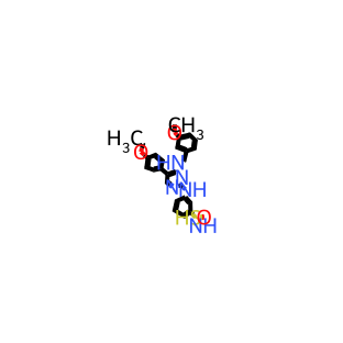 CCOc1ccc(-c2cnc(Nc3cccc([SH](=N)=O)c3)nc2NCc2cccc(OC)c2)cc1